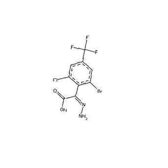 NN=C(C(=O)O)c1c(Cl)cc(C(F)(F)F)cc1Br